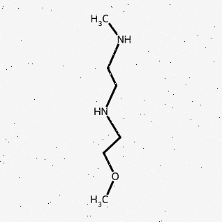 CNCCNCCOC